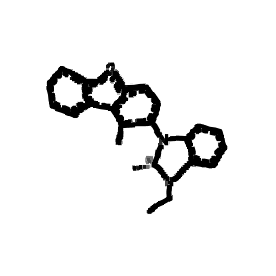 CCN1c2ccccc2N(c2ccc3oc4ccccc4c3c2C)[C@H]1C